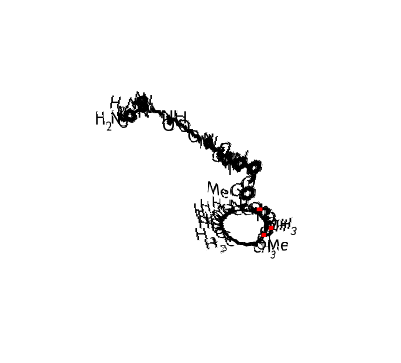 CO[C@H]1C[C@@H]2CC[C@@H](C)[C@@](O)(O2)C(=O)C(=O)N2CCCC[C@H]2C(=O)O[C@H]([C@H](N)C[C@@H]2CC[C@@H](OCc3cccc(-c4cnc(N5CCN(S(=O)(=O)CCc6cn(CCOCCOCCC(=O)NCCCCn7nc(-c8ccc9oc(N)nc9c8)c8c(N)ncnc87)nn6)CC5)nc4)c3)[C@H](OC)C2)CC(=O)[C@H](C)/C=C(\C)[C@@H](O)[C@@H](O)C(=O)[C@H](C)C[C@H](C)/C=C/C=C/C=C/1C